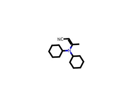 C/C(=C/C#N)N(C1CCCCC1)C1CCCCC1